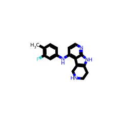 Cc1ccc(Nc2ccnc3[nH]c4c(c23)CNCC4)cc1F